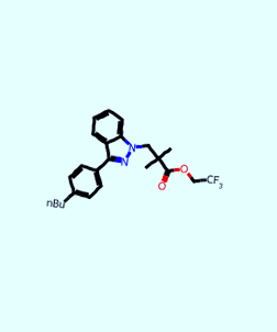 CCCCc1ccc(-c2nn(CC(C)(C)C(=O)OCC(F)(F)F)c3ccccc23)cc1